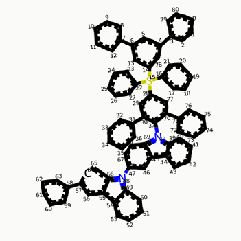 c1ccc(-c2cc(-c3ccccc3)cc(S(c3ccccc3)(c3ccccc3)c3cc(-c4ccccc4)c(-n4c5ccccc5c5cc(-n6c7ccccc7c7cc(-c8ccccc8)ccc76)ccc54)c(-c4ccccc4)c3)c2)cc1